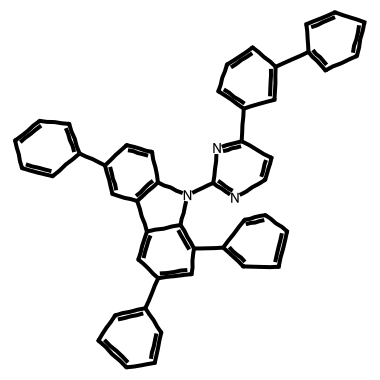 c1ccc(-c2cccc(-c3ccnc(-n4c5ccc(-c6ccccc6)cc5c5cc(-c6ccccc6)cc(-c6ccccc6)c54)n3)c2)cc1